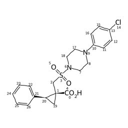 O=C(O)[C@@]1(CS(=O)(=O)N2CCN(c3ccc(Cl)cc3)CC2)C[C@H]1c1ccccc1